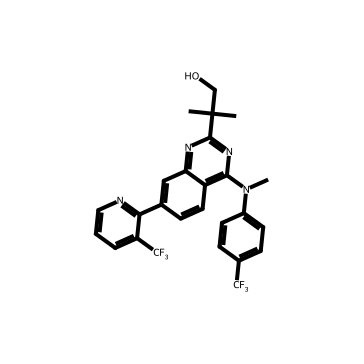 CN(c1ccc(C(F)(F)F)cc1)c1nc(C(C)(C)CO)nc2cc(-c3ncccc3C(F)(F)F)ccc12